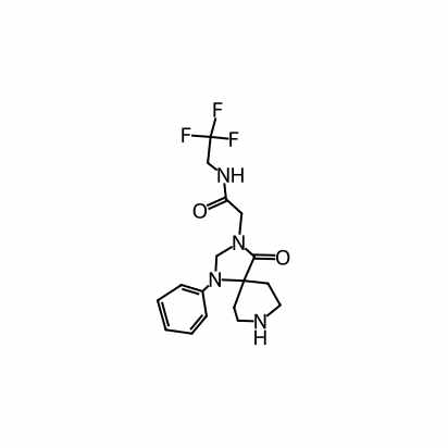 O=C(CN1CN(c2ccccc2)C2(CCNCC2)C1=O)NCC(F)(F)F